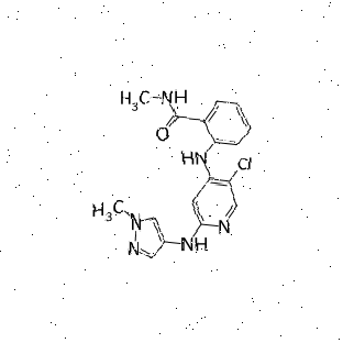 CNC(=O)c1ccccc1Nc1cc(Nc2cnn(C)c2)ncc1Cl